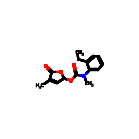 CCc1ccccc1N(C)C(=O)OC1C=C(C)C(=O)O1